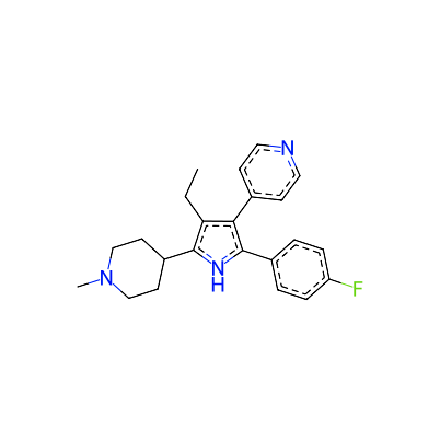 CCc1c(C2CCN(C)CC2)[nH]c(-c2ccc(F)cc2)c1-c1ccncc1